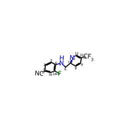 N#Cc1ccc(NCc2ccc(C(F)(F)F)cn2)c(F)c1